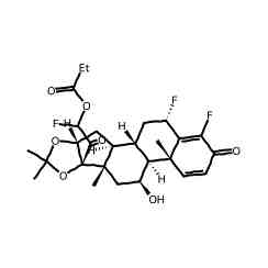 CCC(=O)OC(F)C(=O)[C@@]12OC(C)(C)O[C@@H]1C[C@H]1[C@@H]3C[C@H](F)C4=C(F)C(=O)C=C[C@]4(C)[C@H]3[C@@H](O)C[C@@]12C